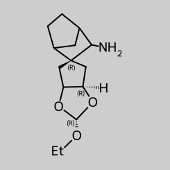 CCO[C@@H]1OC2C[C@@]3(C[C@H]2O1)C1CCC(C1)C3N